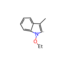 CCOn1[c]c(C)c2ccccc21